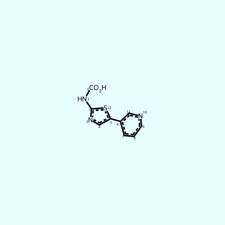 O=C(O)Nc1ncc(-c2cccnc2)s1